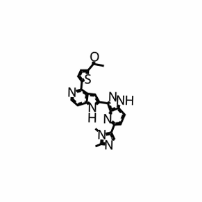 CC(=O)c1ccc(-c2nccc3[nH]c(-c4n[nH]c5ccc(-c6cnc(C)n6C)nc45)cc23)s1